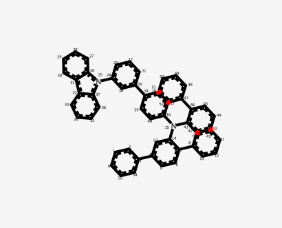 c1ccc(-c2ccc(-c3ccccc3)c(N(c3ccc(-c4cccc(-n5c6ccccc6c6ccccc65)c4)cc3)c3ccccc3-c3ccccc3)c2)cc1